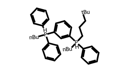 CCCC[PH](CCCC(C)(C)C)(c1ccccc1)c1cccc([PH](CCCC)(c2ccccc2)c2ccccc2)c1